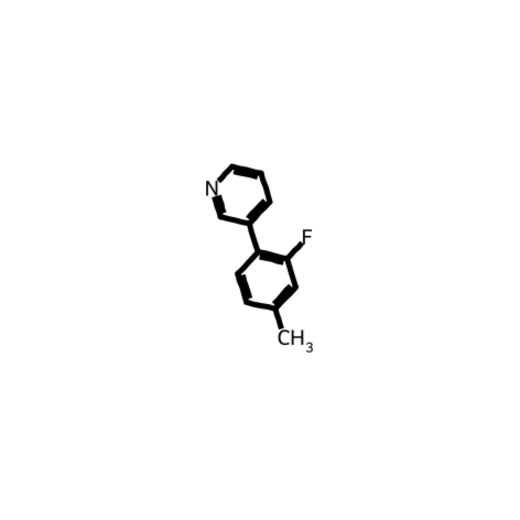 Cc1ccc(-c2cccnc2)c(F)c1